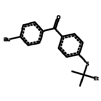 CCC(C)c1ccc(C(=O)c2ccc(SC(C)(C)CC)cc2)cc1